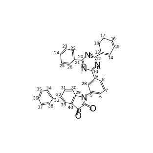 O=C1C(=O)N(c2cccc(-c3nc(C4=CC=CCC4)nc(-c4ccccc4)n3)c2)c2ccc(-c3ccccc3)cc21